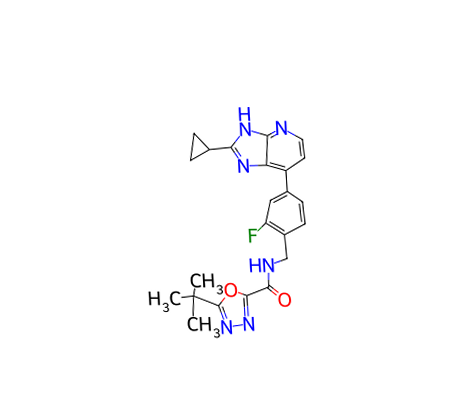 CC(C)(C)c1nnc(C(=O)NCc2ccc(-c3ccnc4[nH]c(C5CC5)nc34)cc2F)o1